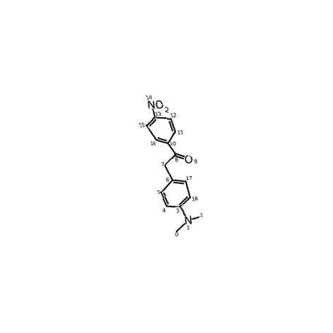 CN(C)c1ccc(CC(=O)c2ccc([N+](=O)[O-])cc2)cc1